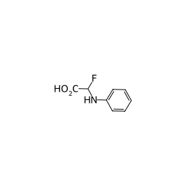 O=C(O)C(F)Nc1ccccc1